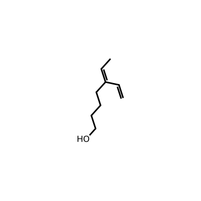 C=C/C(=C\C)CCCCO